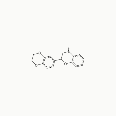 c1ccc2c(c1)NCC(c1ccc3c(c1)OCCO3)O2